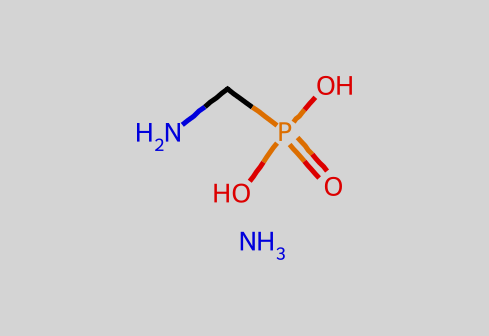 N.NCP(=O)(O)O